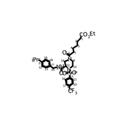 CCOC(=O)CCCCCC(=O)N1CCN(S(=O)(=O)c2ccc(C(F)(F)F)cc2)C(C(=O)NCc2ccc(C(C)C)cc2)C1